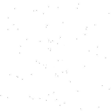 CCCC1(C)C(=O)N(C)N=C1OC(=O)N(C)C